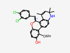 COc1c(O)ccc2c1-c1ccc3c(c1/C(=C/c1ccc(Cl)c(Cl)c1)O2)C(C)=CC(C)(C)N3